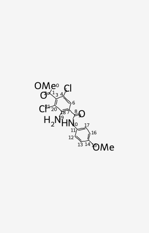 COC(=O)c1c(Cl)cc(C(=O)Nc2ccc(OC)cc2)c(N)c1Cl